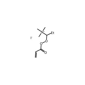 C=CC(=O)OOC(CC)[N+](C)(C)C.[I-]